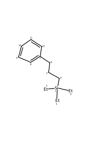 CC[Si](CC)(CC)CCCc1ccccc1